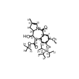 COc1cc2c(cc1O[Si](C(C)C)(C(C)C)C(C)C)N(C(=O)OC(C)(C)C)C(O)C1CC(C)=CN1C2=O